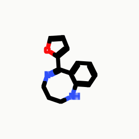 c1coc(/C2=N/CCCNc3ccccc32)c1